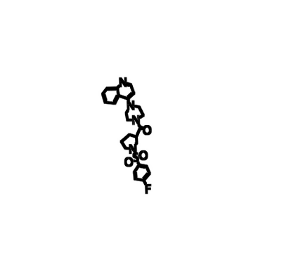 O=C(C1CCCN(S(=O)(=O)c2ccc(F)cc2)C1)N1CCN(c2ccnc3ccccc23)CC1